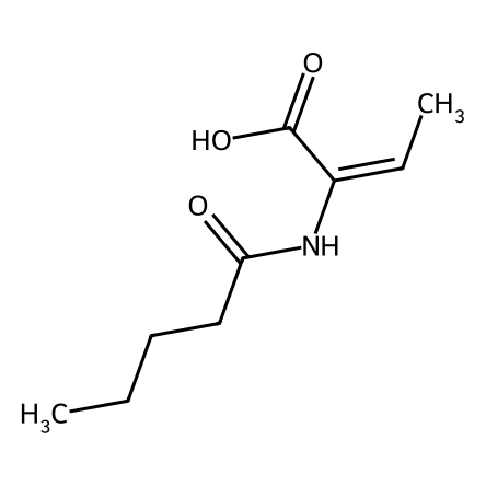 C/C=C(/NC(=O)CCCC)C(=O)O